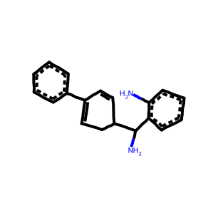 Nc1ccccc1C(N)C1C=CC(c2ccccc2)=CC1